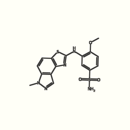 COc1ccc(S(N)(=O)=O)cc1Nc1nc2c(ccc3c2cnn3C)s1